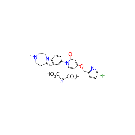 CN1CCc2cc3cc(-n4ccc(OCc5ccc(F)cn5)cc4=O)ccc3n2CC1.O=C(O)/C=C\C(=O)O